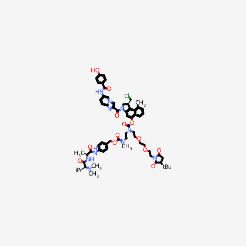 Cc1cccc2c(OC(=O)N(CCOCCOCCN3C(=O)CC(C(C)(C)C)C3=O)CCN(C)C(=O)OCc3ccc(NC(=O)[C@H](C)NC(=O)[C@H](C(C)C)N(C)C)cc3)cc3c(c12)[C@H](CCl)CN3C(=O)c1cn2cc(NC(=O)c3ccc(O)cc3)ccc2n1